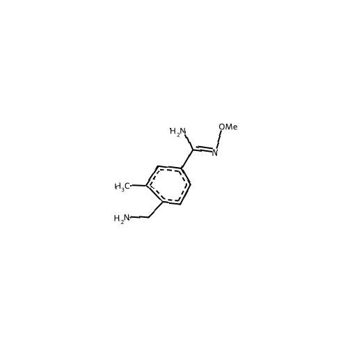 CO/N=C(\N)c1ccc(CN)c(C)c1